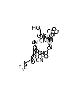 CN(C/C=C/C(=O)N1CCN(c2nc(OC[C@@H]3CCCN3C)nc3c2CCN(c2cc(C4C[C@@H](COc5nc6c(c(N7CCN(C(=O)C#CCO)[C@@H](CC#N)C7)n5)CCN(c5cccc7cccc(Cl)c57)C6)N(C)C4)cc4cccc(Cl)c24)C3)C[C@@H]1CC#N)CC(F)(F)F